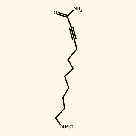 CCCCCCCCCCCCCCCC#CC(N)=O